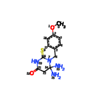 COc1ccc(CN2C(=S)NC(=O)CC2(N)N)cc1